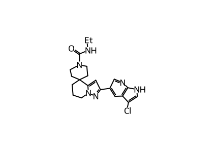 CCNC(=O)N1CCC2(CCCn3nc(-c4cnc5[nH]cc(Cl)c5c4)cc32)CC1